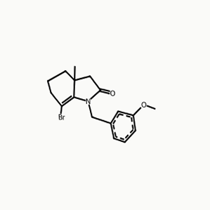 COc1cccc(CN2C(=O)CC3(C)CCCC(Br)=C23)c1